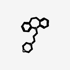 c1ccc2c(c1)CCc1ccccc1N2CCCN1CCOCC1